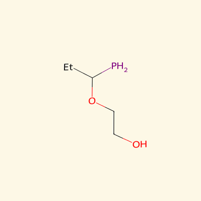 CCC(P)OCCO